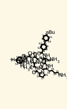 CCCCc1ccc(-c2ccc(C(=O)NCCC(=O)N[C@@H](CCCCN)C(=O)N3CCC[C@H]3C(=O)N[C@@H](C)C(=O)N[C@@H](CCCCN)C(=O)N[C@@H](C)B3OC4C[C@@H]5C[C@@H](C5(C)C)[C@]4(C)O3)cc2)cc1